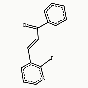 O=C(C=Cc1cccnc1F)c1ccccc1